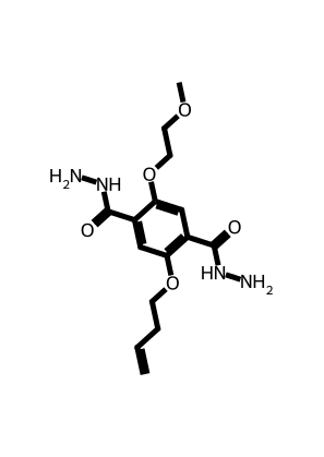 C=CCCOc1cc(C(=O)NN)c(OCCOC)cc1C(=O)NN